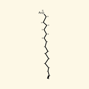 C=CCCCCCCCCCCCCCCOC(C)=O